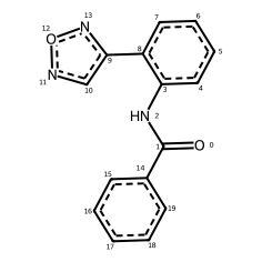 O=C(Nc1ccccc1-c1cnon1)c1ccccc1